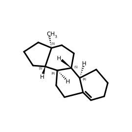 C[C@@]12CCC[C@H]1[C@@H]1CCC3=CCCC[C@@H]3[C@H]1CC2